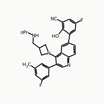 CCCNCC1CN(c2c(-c3cc(C)cc(F)c3)cnc3ccc(-c4cc(F)cc(C#N)c4O)cc23)C1